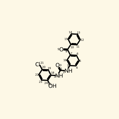 O=C(Nc1cccc(C(=O)c2ccccc2)c1)Nc1cc(Cl)ccc1O